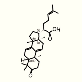 CC(C)=CCCC(C(=O)O)[C@H]1CC[C@@]2(C)C3=CC[C@H]4C(C)(C)C(=O)CC[C@]4(C)C3=CC[C@]12C